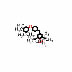 CC1(C)CC(OC2CCC(Cc3cc(C(C)(C)C)c(O)c(C(C)(C)C)c3)CC2)CC(C)(C)C1